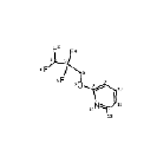 FC(F)C(F)(F)COc1cccpn1